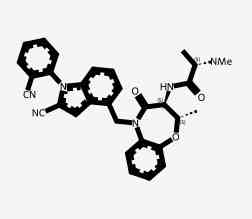 CN[C@@H](C)C(=O)N[C@@H]1C(=O)N(Cc2cccc3c2cc(C#N)n3-c2ccccc2C#N)c2ccccc2O[C@H]1C